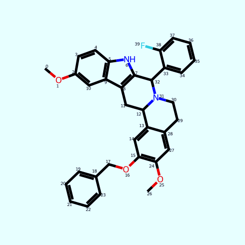 COc1ccc2[nH]c3c(c2c1)CC1c2cc(OCc4ccccc4)c(OC)cc2CCN1C3c1ccccc1F